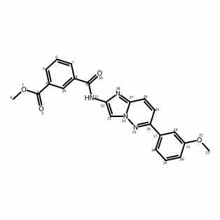 COC(=O)c1cccc(C(=O)Nc2cn3nc(-c4cccc(OC)c4)ccc3n2)c1